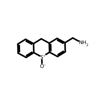 NCc1ccc2c(c1)Cc1ccccc1[S+]2[O-]